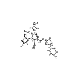 Cc1cc(-c2c(C#N)c(SCc3csc(-c4ccc(Cl)cc4)n3)nc(N3CC(O)C3)c2C#N)[nH]n1